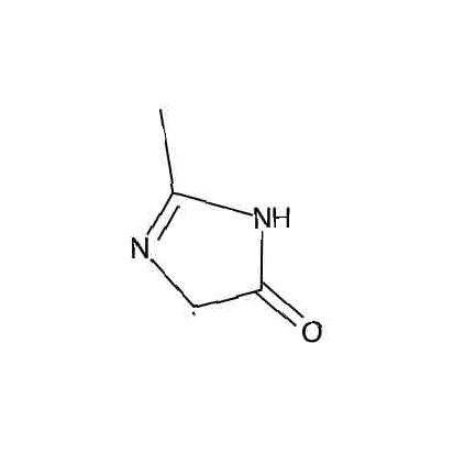 CC1=N[CH]C(=O)N1